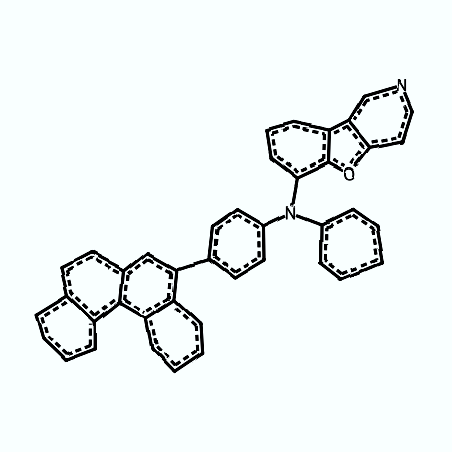 c1ccc(N(c2ccc(-c3cc4ccc5ccccc5c4c4ccccc34)cc2)c2cccc3c2oc2ccncc23)cc1